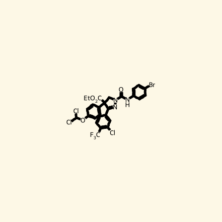 CCOC(=O)C1(c2ccc(OC(Cl)Cl)cc2)CN(C(=O)Nc2ccc(Br)cc2)N=C1c1ccc(C(F)(F)F)c(Cl)c1